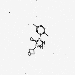 Cc1ccc(C)c(-n2nnn(C3COC3)c2=O)c1